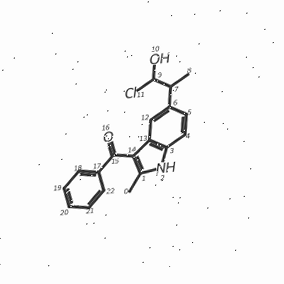 Cc1[nH]c2ccc(C(C)C(O)Cl)cc2c1C(=O)c1ccccc1